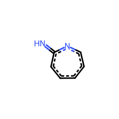 N=c1cccccn1